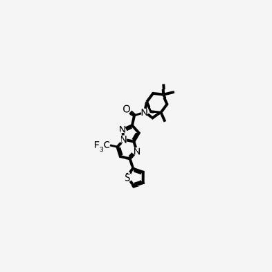 CC1(C)CC2CC(C)(CN2C(=O)c2cc3nc(-c4cccs4)cc(C(F)(F)F)n3n2)C1